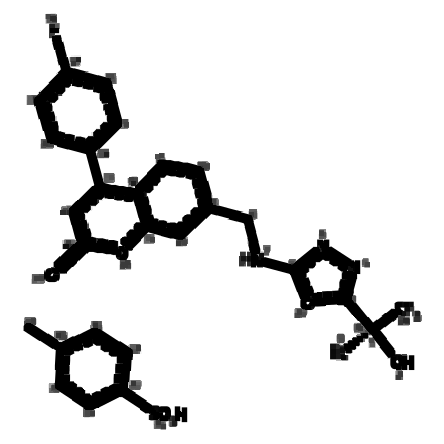 CC[C@](O)(c1nnc(NCc2ccc3c(-c4ccc(F)cc4)cc(=O)oc3c2)o1)C(F)(F)F.Cc1ccc(S(=O)(=O)O)cc1